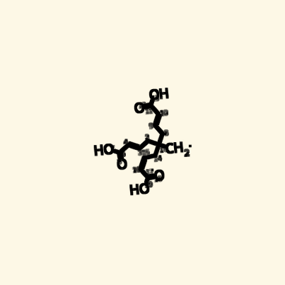 [CH2]C(CC=CC(=O)O)(CC=CC(=O)O)CC=CC(=O)O